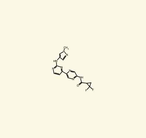 Cn1cc(Nc2nccc(-c3cnc(NC(=O)C4CC4(F)F)cn3)n2)cn1